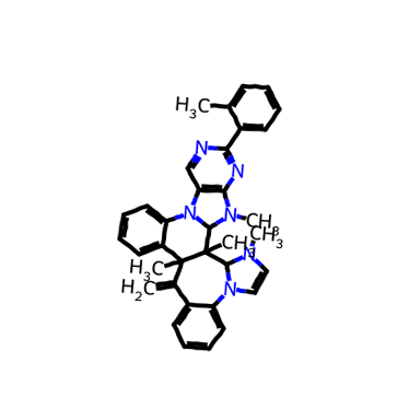 C=C1c2ccccc2N2C=CN(C)C2C2(C)C3N(C)c4nc(-c5ccccc5C)ncc4N3c3ccccc3C12C